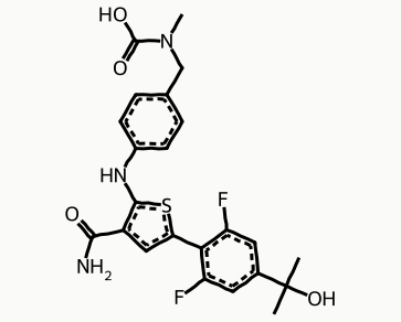 CN(Cc1ccc(Nc2sc(-c3c(F)cc(C(C)(C)O)cc3F)cc2C(N)=O)cc1)C(=O)O